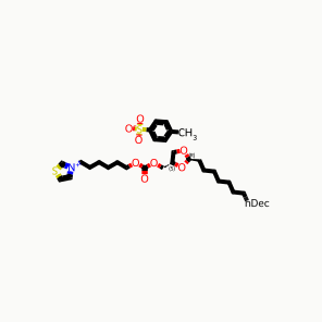 CCCCCCCCCCCCCCCCC[C@@H]1OC[C@@H](COC(=O)OCCCCCC[n+]2ccsc2)O1.Cc1ccc(S(=O)(=O)[O-])cc1